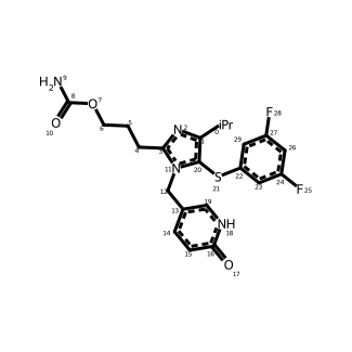 CC(C)c1nc(CCCOC(N)=O)n(Cc2ccc(=O)[nH]c2)c1Sc1cc(F)cc(F)c1